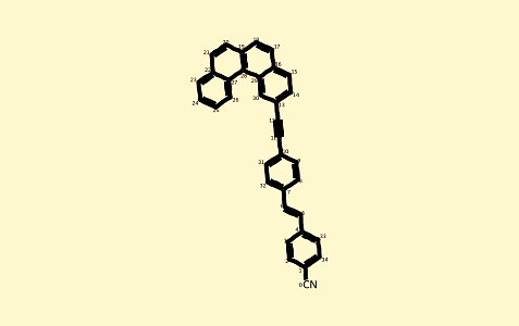 N#Cc1ccc(/C=C/c2ccc(C#Cc3ccc4ccc5ccc6ccccc6c5c4c3)cc2)cc1